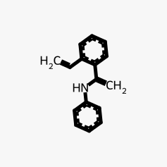 C=Cc1ccccc1C(=C)Nc1ccccc1